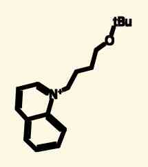 CC(C)(C)OCCCC[n+]1cccc2ccccc21